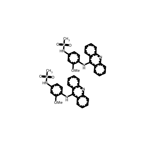 COc1cc(NS(C)(=O)=O)ccc1Nc1c2ccccc2nc2ccccc12.COc1cc(NS(C)(=O)=O)ccc1Nc1c2ccccc2nc2ccccc12